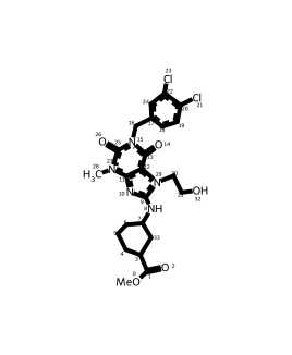 COC(=O)C1CCCC(Nc2nc3c(c(=O)n(Cc4ccc(Cl)c(Cl)c4)c(=O)n3C)n2CCO)C1